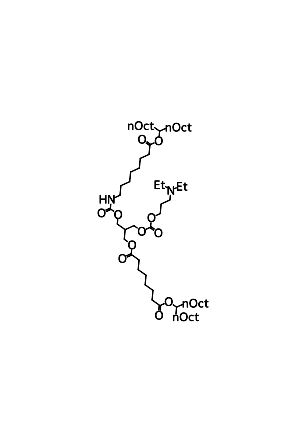 CCCCCCCCC(CCCCCCCC)OC(=O)CCCCCCCNC(=O)OCC(COC(=O)CCCCCCC(=O)OC(CCCCCCCC)CCCCCCCC)COC(=O)OCCCN(CC)CC